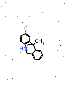 CC12CNC(Cc3ccc(Cl)cc31)c1ccccc12